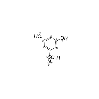 O=S(=O)(O)c1cc(O)cc(O)c1.[Na]